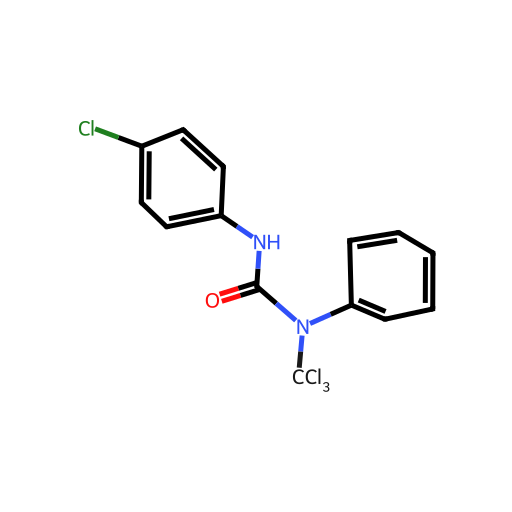 O=C(Nc1ccc(Cl)cc1)N(c1ccccc1)C(Cl)(Cl)Cl